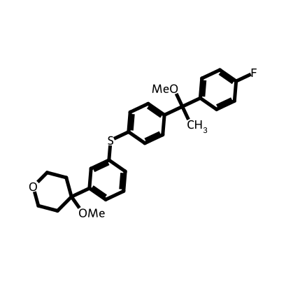 COC1(c2cccc(Sc3ccc(C(C)(OC)c4ccc(F)cc4)cc3)c2)CCOCC1